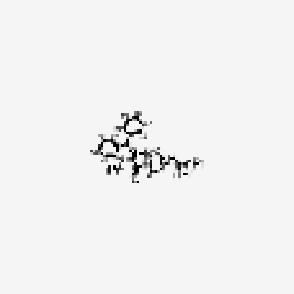 CCCC(CCC)CN1CCN(C(=O)[C@@H](CC(C)C)NC(c2ccccc2)c2ccccc2)CC1